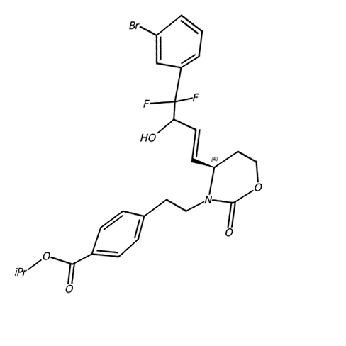 CC(C)OC(=O)c1ccc(CCN2C(=O)OCC[C@@H]2C=CC(O)C(F)(F)c2cccc(Br)c2)cc1